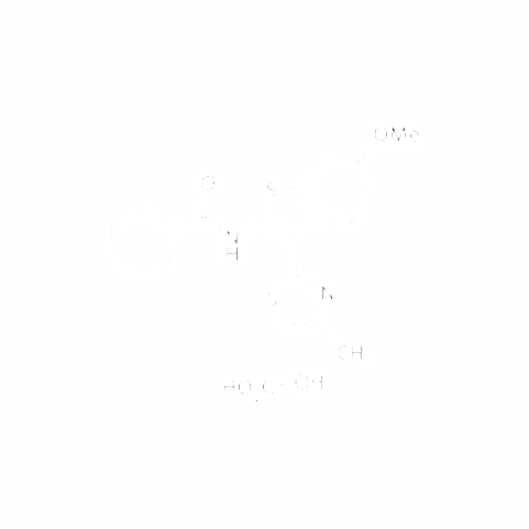 COC1CCc2c(sc(NC(=O)C3CCCCC3)c2-c2nc(C)cs2)C1.O=C(O)O